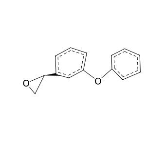 c1ccc(Oc2cccc([C@H]3CO3)c2)cc1